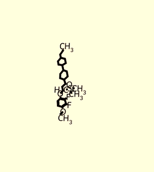 CCCC1CCC(C2CCC(C(CCOc3ccc(OCC)c(F)c3F)O[Si](C)(C)C)CC2)CC1